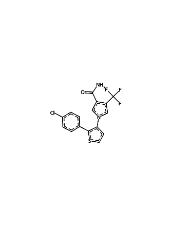 NC(=O)c1cn(-c2ccsc2-c2ccc(Cl)cc2)cc1C(F)(F)F